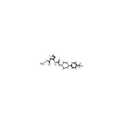 COC(=O)c1sccc1NC(=O)CN1CCN(c2ccc(C(F)(F)F)cn2)CC1